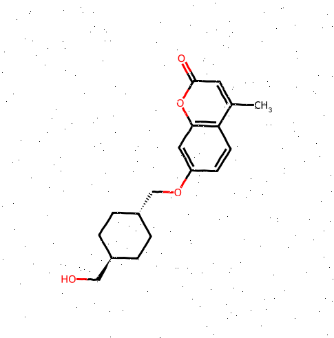 Cc1cc(=O)oc2cc(OC[C@H]3CC[C@H](CO)CC3)ccc12